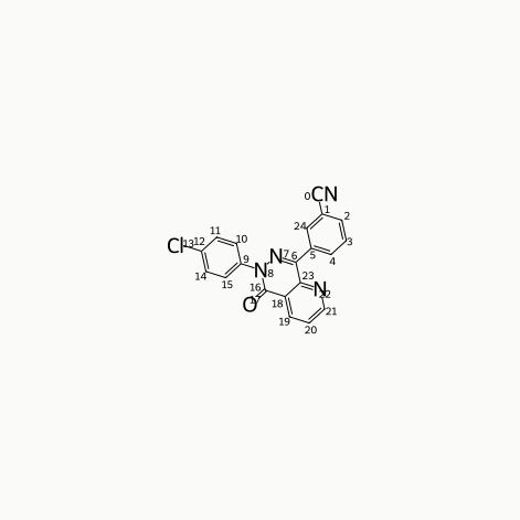 N#Cc1cccc(-c2nn(-c3ccc(Cl)cc3)c(=O)c3cccnc23)c1